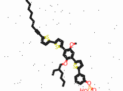 CCCCCCCCC#Cc1ccc(-c2ccc(-c3cc(OCC(CC)CCCC)c(-c4ccc(-c5cccc(O[PH](=O)O)c5)s4)cc3OC)s2)s1